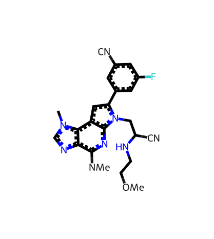 [C-]#[N+]c1cc(F)cc(-c2cc3c4c(ncn4C)c(NC)nc3n2CC(C#N)NCCOC)c1